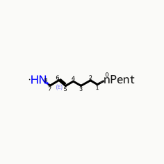 CCCCCCCCC/C=C/C[NH]